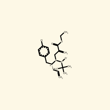 C=CC[C@H](Cc1ccc(Cl)cc1)N(CC(=C)C(=O)OCC)[S+]([O-])C(C)(C)C